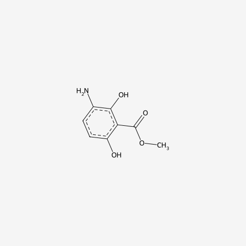 COC(=O)c1c(O)ccc(N)c1O